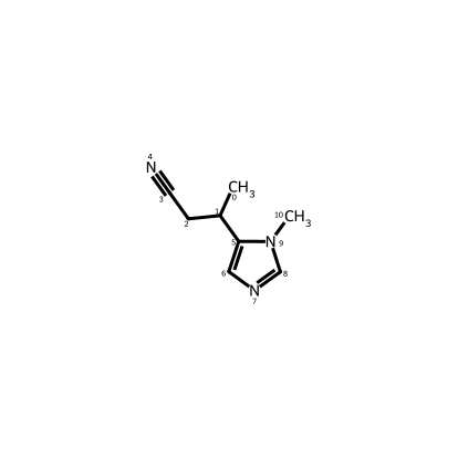 CC(CC#N)c1cncn1C